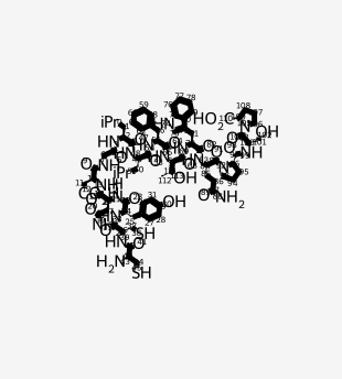 CC(C)C[C@H](NC(=O)CNC(=O)[C@H](CC(=O)O)NC(=O)[C@H](CC(N)=O)NC(=O)[C@H](Cc1ccc(O)cc1)NC(=O)[C@H](CS)NC(=O)[C@@H](N)CS)C(=O)N[C@@H](CC(C)C)C(=O)N[C@@H](Cc1ccccc1)C(=O)N[C@H](C(=O)N[C@@H](Cc1c[nH]c2ccccc12)C(=O)N[C@@H](CCC(N)=O)C(=O)N1CCC[C@H]1C(=O)N[C@@H](CO)C(=O)N1CCC[C@H]1C(=O)O)[C@@H](C)O